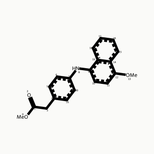 COC(=O)Cc1ccc(Nc2ccc(OC)c3ccccc23)cc1